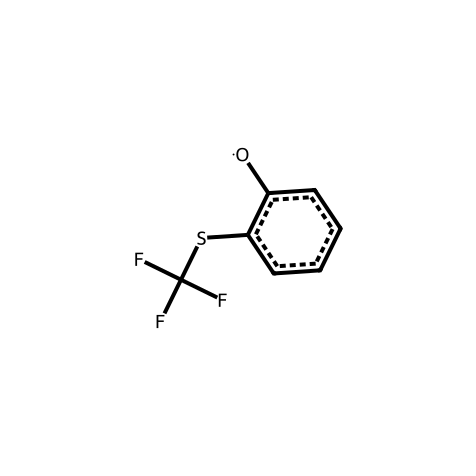 [O]c1ccccc1SC(F)(F)F